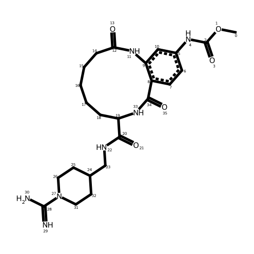 COC(=O)Nc1ccc2c(c1)NC(=O)CCCCCC(C(=O)NCC1CCN(C(=N)N)CC1)NC2=O